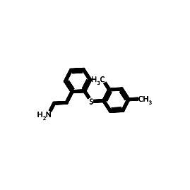 Cc1ccc(Sc2ccccc2CCN)c(C)c1